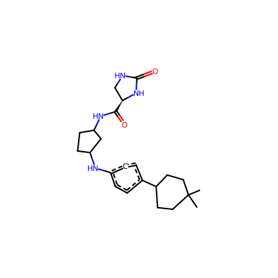 CC1(C)CCC(c2ccc(NC3CCC(NC(=O)[C@H]4CNC(=O)N4)C3)cc2)CC1